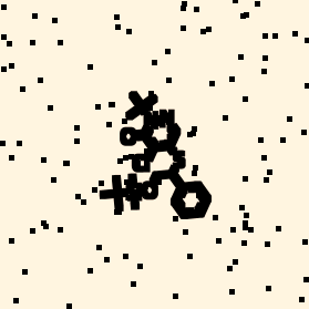 CC(C)(C)n1ncc(SC(CO[Si](C)(C)C(C)(C)C)c2ccccc2)c(Cl)c1=O